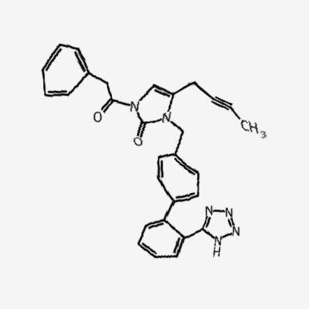 CC#CCc1cn(C(=O)Cc2ccccc2)c(=O)n1Cc1ccc(-c2ccccc2-c2nnn[nH]2)cc1